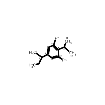 CCC(C)c1cc(F)c(C(C)C)c(F)c1